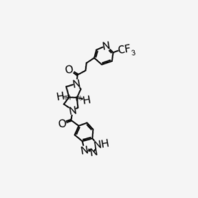 O=C(CCc1ccc(C(F)(F)F)nc1)N1C[C@@H]2CN(C(=O)c3ccc4[nH]nnc4c3)C[C@H]2C1